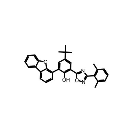 Cc1cccc(C)c1-c1noc(-c2cc(C(C)(C)C)cc(-c3cccc4c3oc3ccccc34)c2O)n1